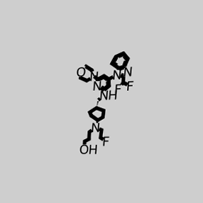 OCCCN(CCF)[C@H]1CC[C@H](CNc2cc(-n3c(C(F)F)nc4ccccc43)cc(N3CCOCC3)n2)CC1